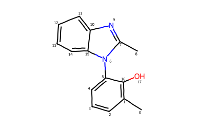 Cc1cccc(-n2c(C)nc3ccccc32)c1O